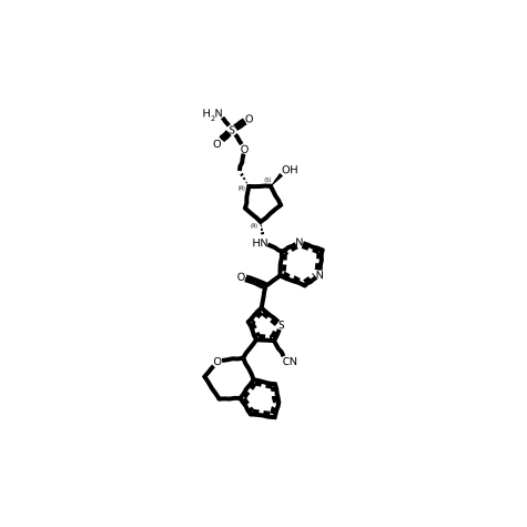 N#Cc1sc(C(=O)c2cncnc2N[C@@H]2C[C@H](COS(N)(=O)=O)[C@@H](O)C2)cc1C1OCCc2ccccc21